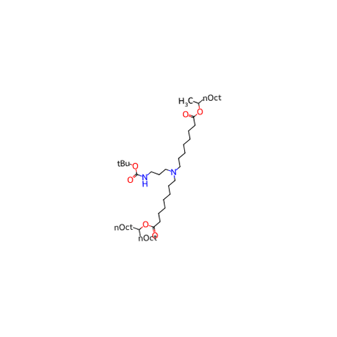 CCCCCCCCC(C)OC(=O)CCCCCCCN(CCCCCCCC(=O)OC(CCCCCCCC)CCCCCCCC)CCCNC(=O)OC(C)(C)C